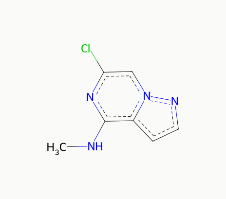 CNc1nc(Cl)cn2nccc12